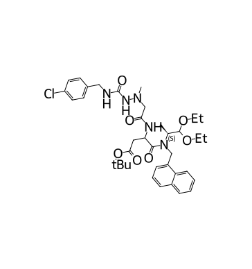 CCOC(OCC)[C@H](C)N(Cc1cccc2ccccc12)C(=O)C(CC(=O)OC(C)(C)C)NC(=O)CN(C)NC(=O)NCc1ccc(Cl)cc1